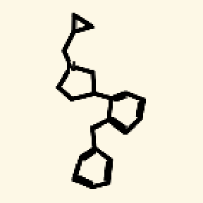 c1ccc(Cc2ccccc2C2CCN(CC3CC3)C2)cc1